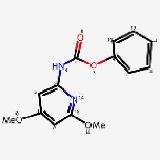 COc1cc(NC(=O)Oc2ccccc2)nc(OC)c1